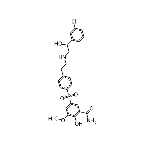 COc1cc(S(=O)(=O)c2ccc(CCNC[C@@H](O)c3cccc(Cl)c3)cc2)cc(C(N)=O)c1O